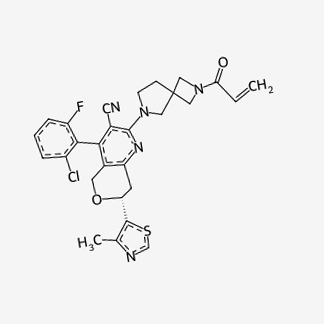 C=CC(=O)N1CC2(CCN(c3nc4c(c(-c5c(F)cccc5Cl)c3C#N)CO[C@@H](c3scnc3C)C4)C2)C1